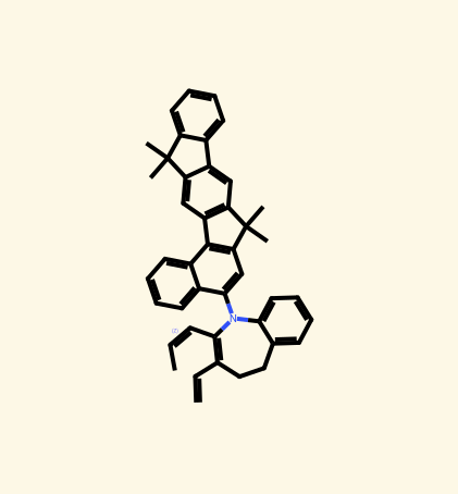 C=CC1=C(/C=C\C)N(c2cc3c(c4ccccc24)-c2cc4c(cc2C3(C)C)-c2ccccc2C4(C)C)c2ccccc2CC1